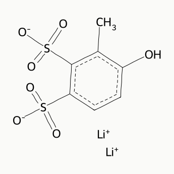 Cc1c(O)ccc(S(=O)(=O)[O-])c1S(=O)(=O)[O-].[Li+].[Li+]